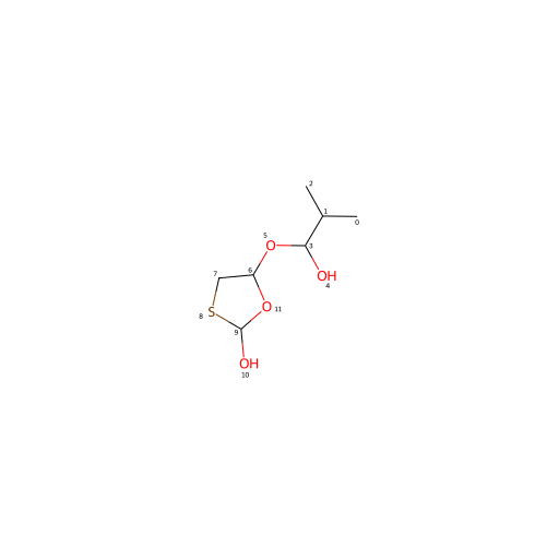 CC(C)C(O)OC1CSC(O)O1